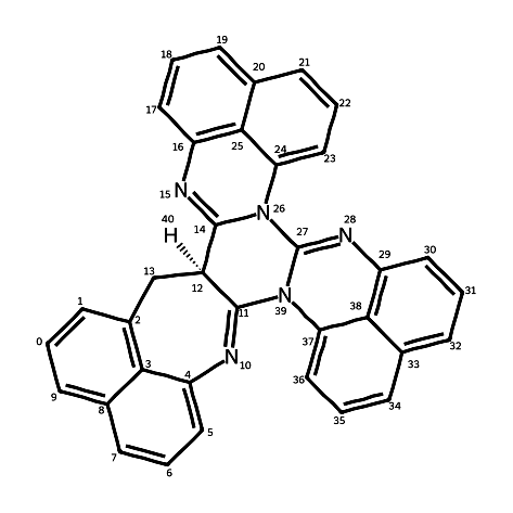 c1cc2c3c(cccc3c1)N=C1[C@@H](C2)C2=Nc3cccc4cccc(c34)N2C2=Nc3cccc4cccc(c34)N12